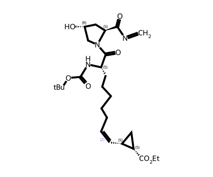 C=NC(=O)[C@@H]1C[C@@H](O)CN1C(=O)[C@H](CCCCC/C=C\[C@@H]1C[C@@H]1C(=O)OCC)NC(=O)OC(C)(C)C